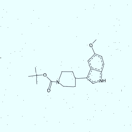 COc1ccc2[nH]cc(C3CCN(C(=O)OC(C)(C)C)CC3)c2c1